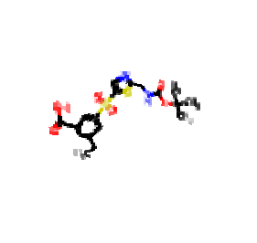 CCc1cc(C(=O)O)cc(S(=O)(=O)c2cnc(CNC(=O)OC(C)(C)C)s2)c1